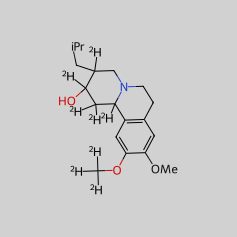 [2H]C([2H])([2H])Oc1cc2c(cc1OC)CCN1CC([2H])(CC(C)C)C([2H])(O)C([2H])([2H])C21[2H]